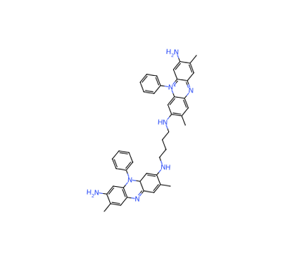 CC1=CC2=Nc3cc(C)c(N)cc3N(c3ccccc3)C2C=C1NCCCCNc1cc2c(cc1C)nc1cc(C)c(N)cc1[n+]2-c1ccccc1